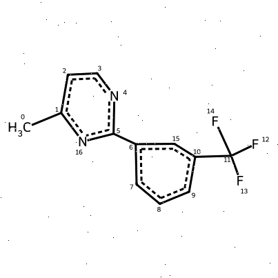 Cc1ccnc(-c2cccc(C(F)(F)F)c2)n1